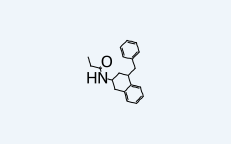 CCC(=O)NC1Cc2ccccc2C(Cc2ccccc2)C1